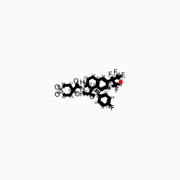 O=C(N1CC[C@]2(S(=O)(=O)c3ccc(F)cc3)c3ccc(C(F)(C(F)(F)F)C(F)(F)F)cc3CC[C@H]12)C1(O)CCS(=O)(=O)CC1